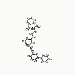 O=C1c2ccccc2C(=O)N1CCCc1cccc(C#Cc2cccc(-c3ccccc3)c2)c1